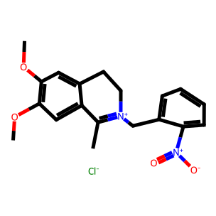 COc1cc2c(cc1OC)C(C)=[N+](Cc1ccccc1[N+](=O)[O-])CC2.[Cl-]